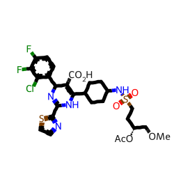 COC[C@@H](CCS(=O)(=O)NC1CCC(C2=C(C(=O)O)C(c3ccc(F)c(F)c3Cl)N=C(c3nccs3)N2)CC1)OC(C)=O